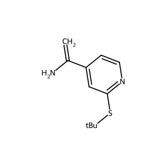 C=C(N)c1ccnc(SC(C)(C)C)c1